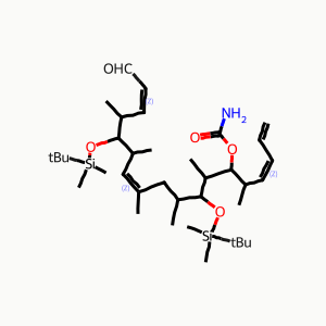 C=C/C=C\C(C)C(OC(N)=O)C(C)C(O[Si](C)(C)C(C)(C)C)C(C)C/C(C)=C\C(C)C(O[Si](C)(C)C(C)(C)C)C(C)/C=C\C=O